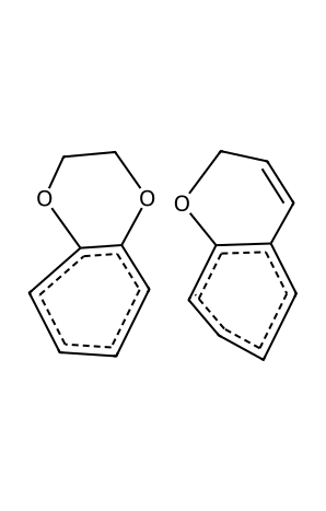 C1=Cc2ccccc2OC1.c1ccc2c(c1)OCCO2